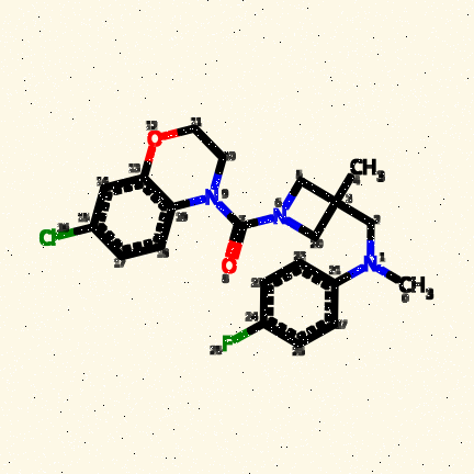 CN(CC1(C)CN(C(=O)N2CCOc3cc(Cl)ccc32)C1)c1ccc(F)cc1